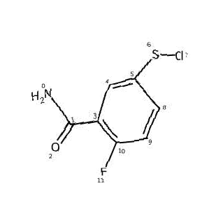 NC(=O)c1cc(SCl)ccc1F